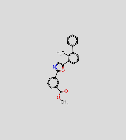 COC(=O)c1cccc(-c2ncc(-c3cccc(-c4ccccc4)c3C)o2)c1